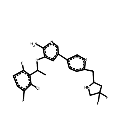 CC(Oc1cc(-c2ccc(CC3CC(F)(F)CN3)nc2)cnc1N)c1c(F)ccc(F)c1Cl